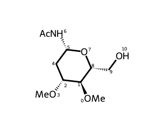 CO[C@H]1[C@H](OC)C[C@H](NC(C)=O)O[C@@H]1CO